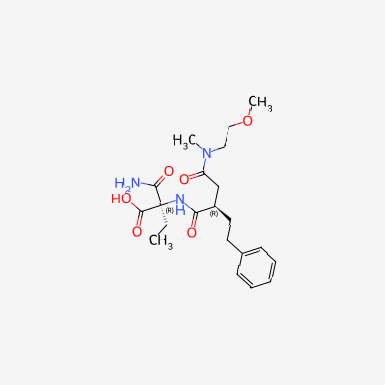 CC[C@@](NC(=O)[C@H](CCc1ccccc1)CC(=O)N(C)CCOC)(C(N)=O)C(=O)O